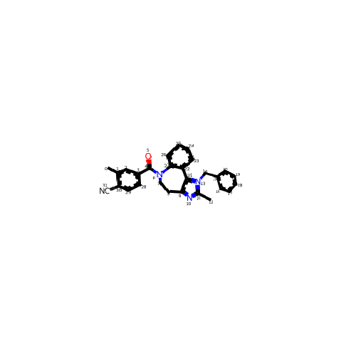 Cc1cc(C(=O)N2CCc3nc(C)n(Cc4ccccc4)c3-c3ccccc32)ccc1C#N